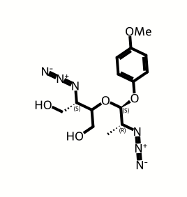 COc1ccc(O[C@H](OC(CO)[C@H](CO)N=[N+]=[N-])[C@@H](C)N=[N+]=[N-])cc1